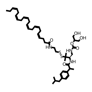 CC/C=C\C/C=C\C/C=C\C/C=C\C/C=C\C/C=C\CCC(=O)NCCSSC(C)(C)[C@@H](CNC(=O)OC(CO)CO)NC(=O)C(C)c1ccc(CC(C)C)cc1